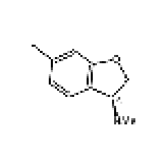 CN[C@@H]1COc2cc(F)ccc21